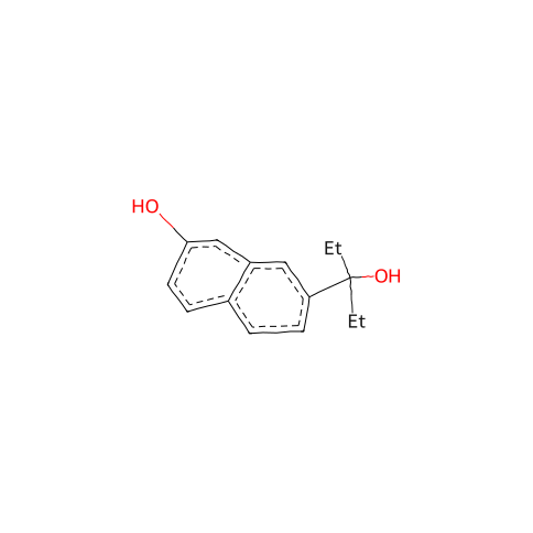 CCC(O)(CC)c1ccc2ccc(O)cc2c1